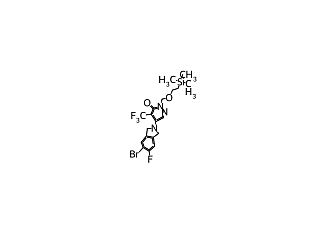 C[Si](C)(C)CCOCn1ncc(N2Cc3cc(F)c(Br)cc3C2)c(C(F)(F)F)c1=O